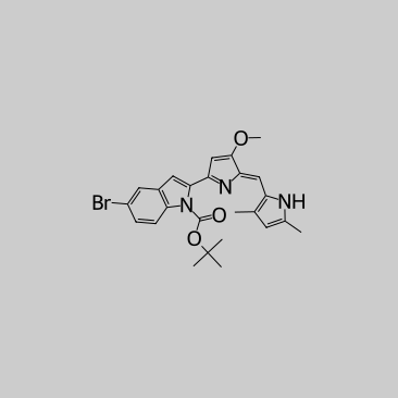 COC1=CC(c2cc3cc(Br)ccc3n2C(=O)OC(C)(C)C)=NC1=Cc1[nH]c(C)cc1C